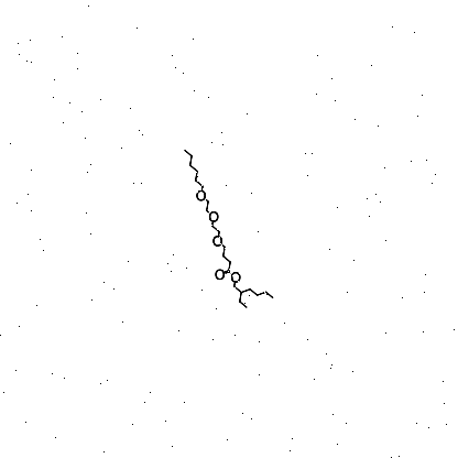 CCCCCCOCCOCCOCCCC(=O)OCC(CC)CCCC